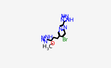 COC(CCc1cn2cc(-c3nnn[nH]3)nc2cc1Br)c1nnn[nH]1